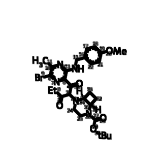 CCC(=O)C(C(=O)c1nc(Br)c(C)nc1NCc1ccc(OC)cc1)N1CCN(C(=O)OC(C)(C)C)[C@H]2CC[C@@H]21